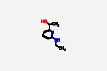 CCNc1cccc(C(C)O)n1